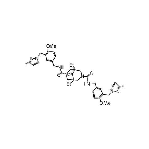 CCC12CN(C(=O)NCc3ccc(OC)c(Cn4ccc(I)n4)c3)CC(CC)(CN(C(=O)NCc3ccc(OC)c(Cn4ccc(I)n4)c3)C1)C2=O